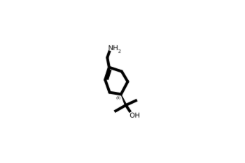 CC(C)(O)[C@H]1CC=C(CN)CC1